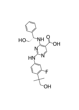 CC(C)(CO)c1ccc(Nc2ncc(C(=O)O)c(N[C@H](CO)c3ccccc3)n2)cc1F